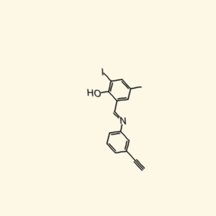 C#Cc1cccc(/N=C/c2cc(C)cc(I)c2O)c1